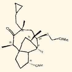 COCO[C@@H]1C[C@@](C)(CC2CC2)C(=O)[C@H](C)C23CC[C@@H](C)[C@]1(C)C2[C@H](OC)CC3